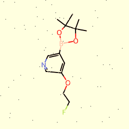 CC1(C)OB(c2cncc(OCCF)c2)OC1(C)C